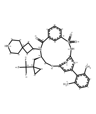 Cc1cccc(C)c1-c1cc2nc(n1)NS(=O)(=O)c1cccc(c1)C(=O)N(C1CC3(CCNCC3)C1)[C@H](CC1(C(F)(F)F)CC1)CO2